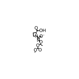 COC(=O)OC(C)O/N=[N+](\[O-])N1CC[C@H]1C(=O)O